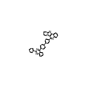 c1ccc(-c2nc(-c3ccc(-c4ccc(-c5nc6ccccc6c6nc7ccccn7c56)cc4)cc3)c3ccccc3n2)cc1